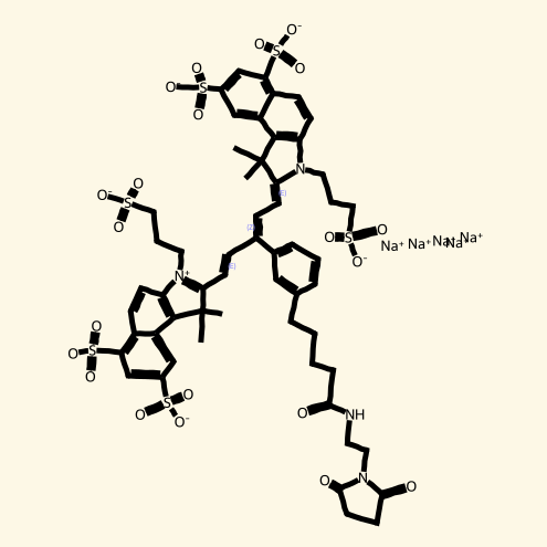 CC1(C)C(/C=C/C(=C/C=C2/N(CCCS(=O)(=O)[O-])c3ccc4c(S(=O)(=O)[O-])cc(S(=O)(=O)[O-])cc4c3C2(C)C)c2cccc(CCCCC(=O)NCCN3C(=O)CCC3=O)c2)=[N+](CCCS(=O)(=O)[O-])c2ccc3c(S(=O)(=O)[O-])cc(S(=O)(=O)[O-])cc3c21.[Na+].[Na+].[Na+].[Na+].[Na+]